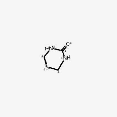 O=C1NCSCN1